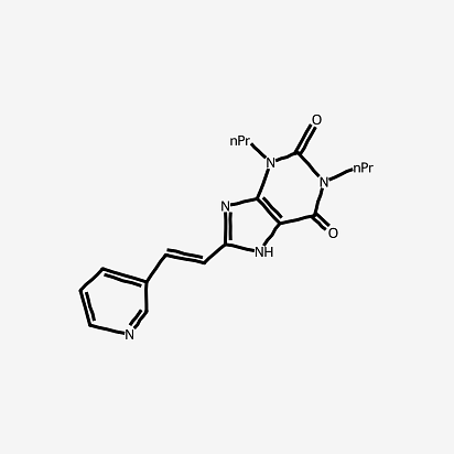 CCCn1c(=O)c2[nH]c(/C=C/c3cccnc3)nc2n(CCC)c1=O